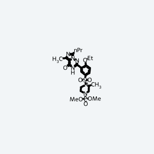 CCCc1nc(C)c2c(=O)[nH]c(-c3cc(S(=O)(=O)N4CCN(P(=O)(OC)OC)CC4C)ccc3OCC)nn12